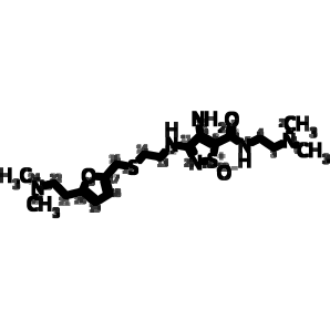 CN(C)CCNC(=O)c1c(N)c(NCCSCc2ccc(CCN(C)C)o2)n[s+]1[O-]